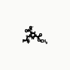 COC(=O)c1cc([N+](=O)[O-])n(CC(F)F)n1